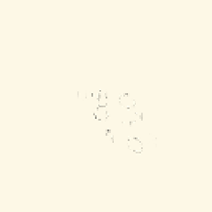 CC(=O)O[C@@H](C(=O)Nc1cccc(-c2nn(C3CCCCO3)c3ccc(C#N)cc23)c1)c1ccccc1